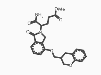 COC(=O)CCC(C(N)=O)N1Cc2c(OCC3COc4ccccc4C3)cccc2C1=O